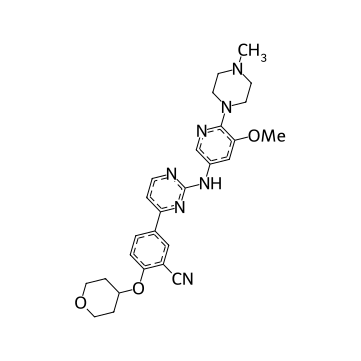 COc1cc(Nc2nccc(-c3ccc(OC4CCOCC4)c(C#N)c3)n2)cnc1N1CCN(C)CC1